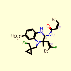 CC/C=C\C(=O)N[C@@H]1Nc2ccc(C(=O)O)cc2N(CC2(CF)CC2)C1(C)/C=C(/F)CC